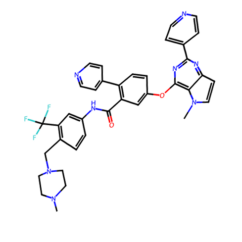 CN1CCN(Cc2ccc(NC(=O)c3cc(Oc4nc(-c5ccncc5)nc5ccn(C)c45)ccc3-c3ccncc3)cc2C(F)(F)F)CC1